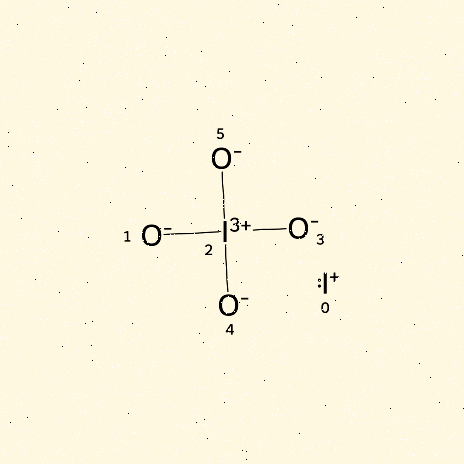 [I+].[O-][I+3]([O-])([O-])[O-]